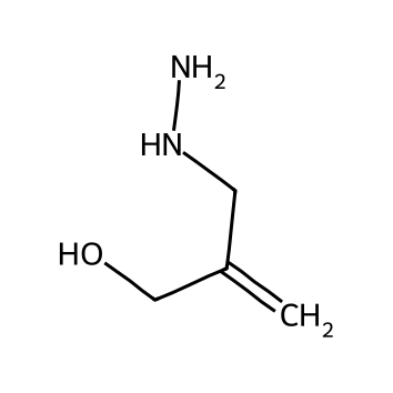 C=C(CO)CNN